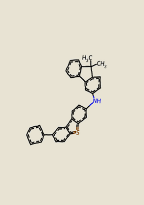 CC1(C)c2ccccc2-c2cc(Nc3ccc4c(c3)sc3ccc(-c5ccccc5)cc34)ccc21